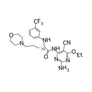 CCOc1nc(N)nc(NC(=O)[C@H](CCCN2CCOCC2)Nc2cccc(C(F)(F)F)c2)c1C#N